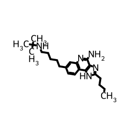 CCCCc1nc2c(N)nc3cc(CCCCCNC(C)(C)C)ccc3c2[nH]1